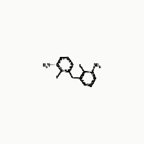 Nc1cccc(Cc2cccc(N)c2I)c1I